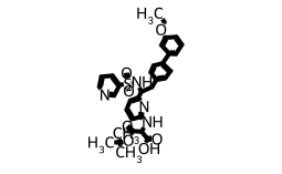 CCOc1cccc(-c2ccc(CC(NS(=O)(=O)c3cccnc3)c3cccc(NC(C(=O)O)C(=O)OC(C)(C)C)n3)cc2)c1